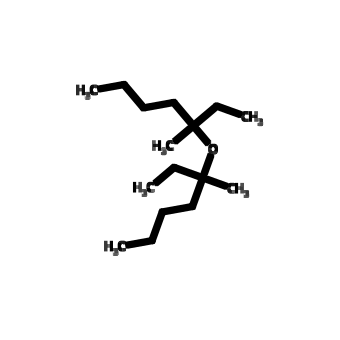 CCCCC(C)(CC)OC(C)(CC)CCCC